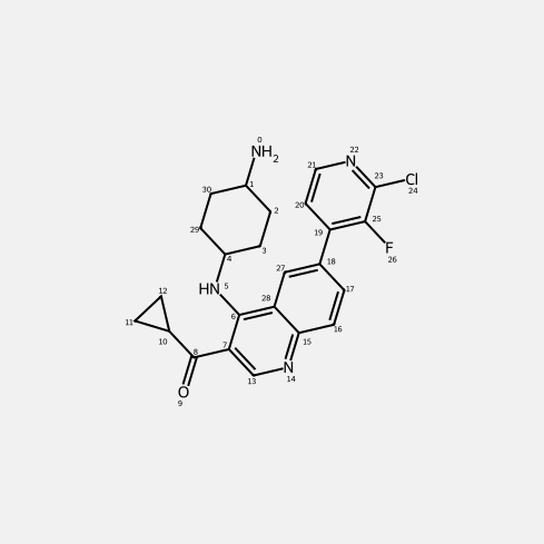 NC1CCC(Nc2c(C(=O)C3CC3)cnc3ccc(-c4ccnc(Cl)c4F)cc23)CC1